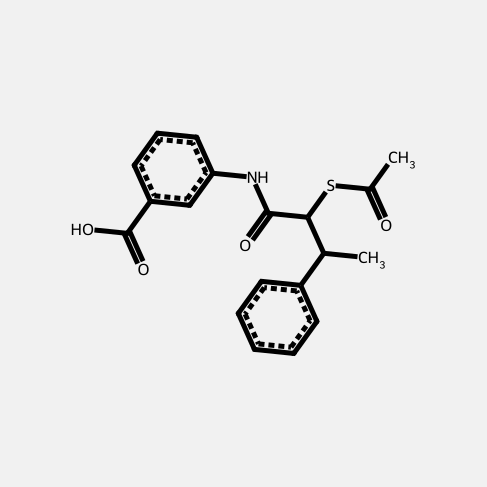 CC(=O)SC(C(=O)Nc1cccc(C(=O)O)c1)C(C)c1ccccc1